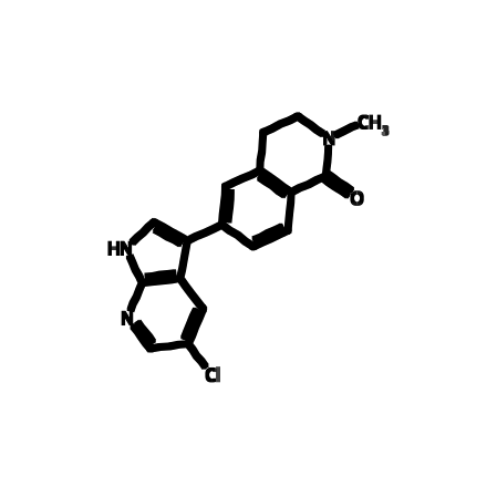 CN1CCc2cc(-c3c[nH]c4ncc(Cl)cc34)ccc2C1=O